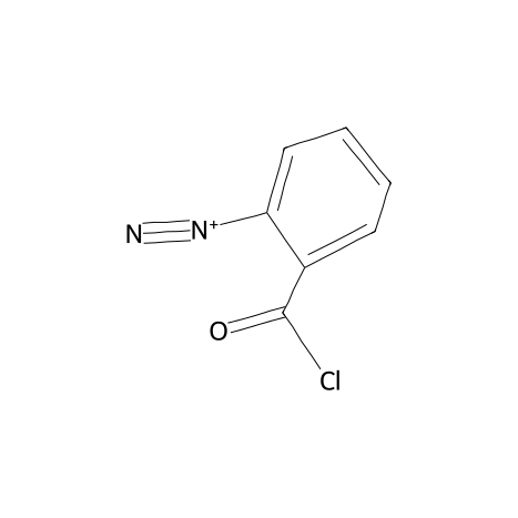 N#[N+]c1ccccc1C(=O)Cl